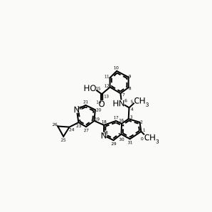 Cc1cc(C(C)Nc2ccccc2C(=O)O)c2cc(-c3ccnc(C4CC4)c3)ncc2c1